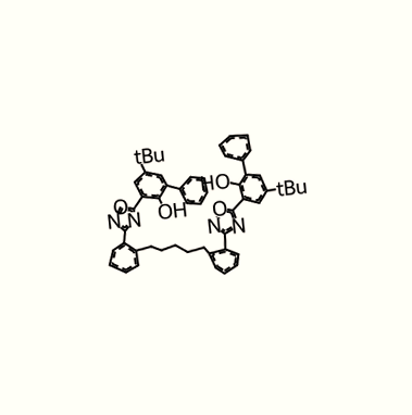 CC(C)(C)c1cc(-c2ccccc2)c(O)c(-c2nc(-c3ccccc3CCCCCc3ccccc3-c3noc(-c4cc(C(C)(C)C)cc(-c5ccccc5)c4O)n3)no2)c1